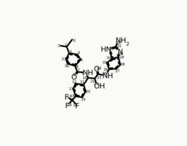 CC(C)c1ccc(C(=O)NC(c2ccc(C(F)(F)F)cc2)C(O)C(=O)Nc2ccc3nc(N)[nH]c3c2)cc1